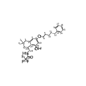 CC1(C)Cc2cc(OCCCCCc3ccccc3)cc(O)c2C(CNC(=O)C(F)(F)F)C1